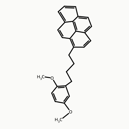 COc1ccc(OC)c(CCCCc2ccc3ccc4cccc5ccc2c3c45)c1